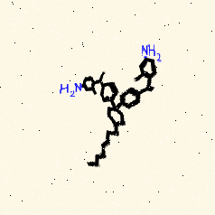 CCCCCCCCC1CCC(c2ccc(C(C)c3ccc(N)cc3C)cc2)(c2ccc(C(C)c3ccc(N)cc3C)cc2)CC1